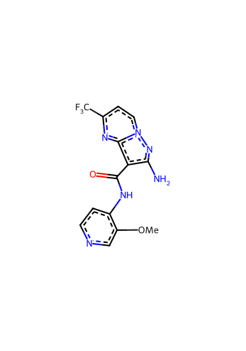 COc1cnccc1NC(=O)c1c(N)nn2ccc(C(F)(F)F)nc12